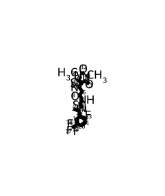 Cn1c(=O)c2c(CC(=O)Nc3nc(-c4cc(C(F)(F)F)ccc4F)cs3)nsc2n(C)c1=O